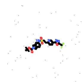 CC(C)(C)OC(=O)n1cc2ccc(NS(=O)(=O)CCc3ccc(-c4nnc(C(F)F)o4)cn3)cc2c1